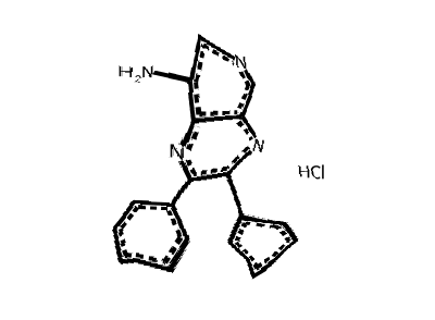 Cl.Nc1cncc2nc(-c3ccccc3)c(-c3ccccc3)nc12